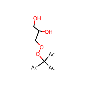 CC(=O)C(OOCC(O)CO)(C(C)=O)C(C)=O